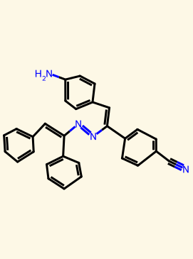 N#Cc1ccc(C(=Cc2ccc(N)cc2)N=NC(=Cc2ccccc2)c2ccccc2)cc1